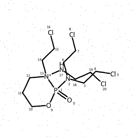 O=P1(N(CCCl)CCCl)OCCC[N+]1(CCCl)NCCCl